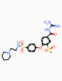 CS(=O)(=O)c1cc(C(=O)NC(=N)N)ccc1Oc1ccc(S(=O)(=O)NCCN2CCCCC2)cc1